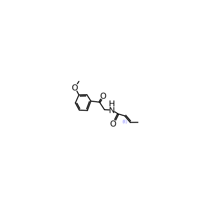 C/C=C/C(=O)NCC(=O)c1cccc(OC)c1